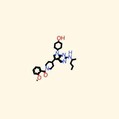 CCCC(C)Nc1ncc2c(C3CCN(C(=O)c4ccccc4OC)CC3)cn(C3CCC(O)CC3)c2n1